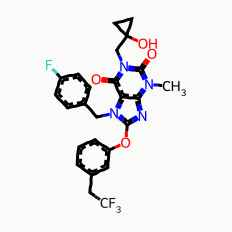 Cn1c(=O)n(CC2(O)CC2)c(=O)c2c1nc(Oc1cccc(CC(F)(F)F)c1)n2Cc1ccc(F)cc1